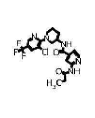 CCC(=O)Nc1cc(C(=O)NC2CCCN(c3ncc(C(F)(F)F)cc3Cl)C2)ccn1